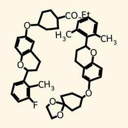 CCOC(=O)C1CCC(Oc2ccc3c(c2)CCC(c2cccc(F)c2C)O3)CC1.Cc1cccc(C)c1C1CCc2cc(OC3CCC4(CC3)OCCO4)ccc2O1